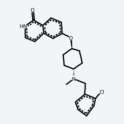 CN(Cc1ccccc1Cl)[C@H]1CC[C@H](Oc2ccc3c(=O)[nH]ccc3c2)CC1